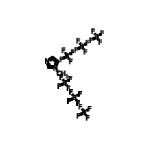 Cn1ccnc1.F[B-](F)(F)F.F[B-](F)(F)F.F[B-](F)(F)F.F[B-](F)(F)F.F[B-](F)(F)F.F[B-](F)(F)F